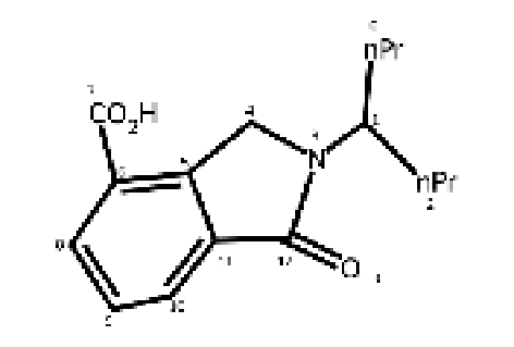 CCCC(CCC)N1Cc2c(C(=O)O)cccc2C1=O